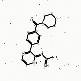 N=C(N)/N=c1\[nH]ccnc1-c1ccc(C(=O)N2CCOCC2)cc1